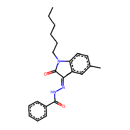 CCCCCCN1C(=O)/C(=N\NC(=O)c2ccccc2)c2cc(C)ccc21